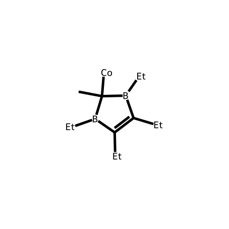 CCB1C(CC)=C(CC)B(CC)[C]1(C)[Co]